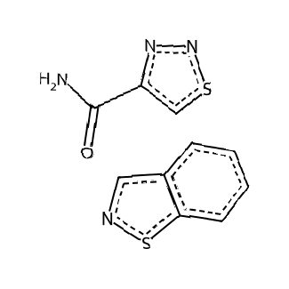 NC(=O)c1csnn1.c1ccc2sncc2c1